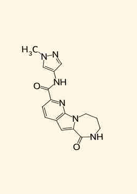 Cn1cc(NC(=O)c2ccc3cc4n(c3n2)CCCNC4=O)cn1